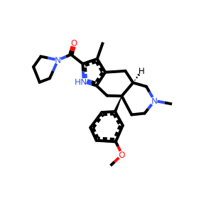 COc1cccc([C@]23CCN(C)C[C@@H]2Cc2c([nH]c(C(=O)N4CCCC4)c2C)C3)c1